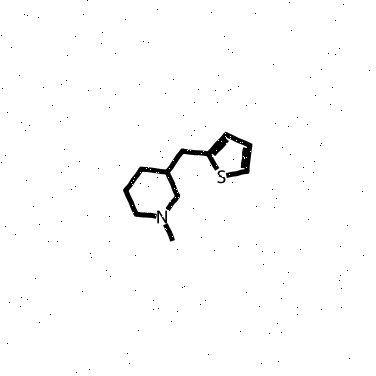 CN1CCCC(Cc2cccs2)C1